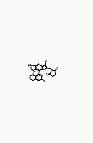 O=C1CCC(=O)N1Cc1sc2c(-c3cc(Cl)cc4c3N([C@@H]3CCNC3)CCC4)ccnc2c1F